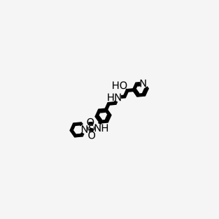 O=S(=O)(Nc1ccc(CCNC[C@H](O)c2cccnc2)cc1)N1CCCCC1